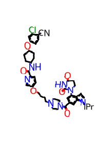 CC(C)n1ccc2c(N3CCC(=O)NC3=O)cc(C(=O)N3CCN(CCCCOc4ccc(C(=O)N[C@H]5CC[C@H](Oc6ccc(C#N)c(Cl)c6)CC5)nc4)CC3)cc21